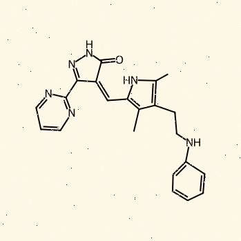 Cc1[nH]c(C=C2C(=O)NN=C2c2ncccn2)c(C)c1CCNc1ccccc1